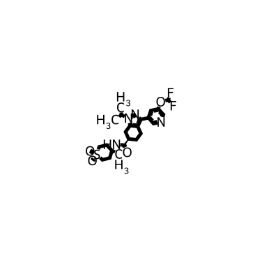 CC(C)n1nc(-c2cncc(OC(F)F)c2)c2c1C[C@H](C(=O)NC1(C)CCS(=O)(=O)CC1)CC2